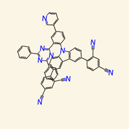 N#Cc1ccc(-c2ccc3c(c2)c2cc(-c4ccc(C#N)cc4C#N)ccc2n3-c2ccc(-c3cccnc3)cc2-c2nc(-c3ccccc3)nc(-c3ccccc3)n2)c(C#N)c1